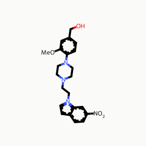 COc1cc(CO)ccc1N1CCN(CCn2ccc3ccc([N+](=O)[O-])cc32)CC1